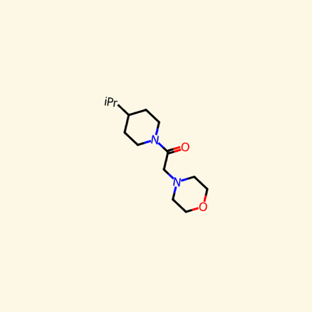 CC(C)C1CCN(C(=O)CN2CCOCC2)CC1